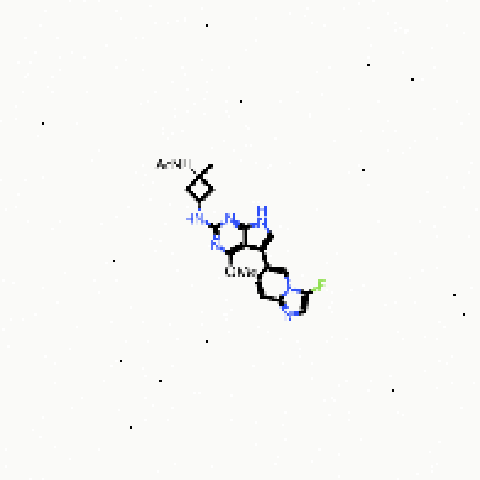 COc1nc(N[C@H]2C[C@@](C)(NC(C)=O)C2)nc2[nH]cc(-c3ccc4ncc(F)n4c3)c12